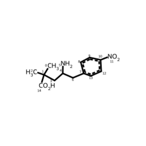 CC(C)(CC(N)Cc1ccc([N+](=O)[O-])cc1)C(=O)O